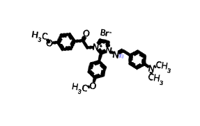 COc1ccc(C(=O)C[n+]2ccn(/N=C/c3ccc(N(C)C)cc3)c2-c2ccc(OC)cc2)cc1.[Br-]